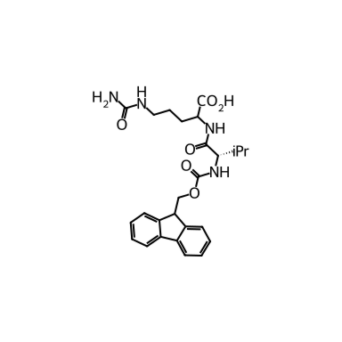 CC(C)[C@H](NC(=O)OCC1c2ccccc2-c2ccccc21)C(=O)NC(CCCNC(N)=O)C(=O)O